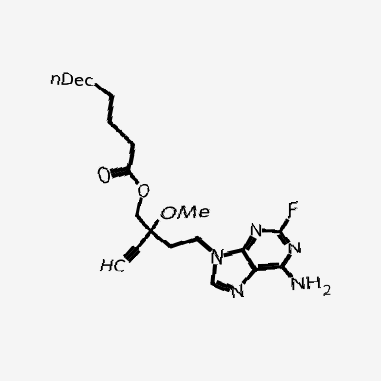 C#CC(CCn1cnc2c(N)nc(F)nc21)(COC(=O)CCCCCCCCCCCCC)OC